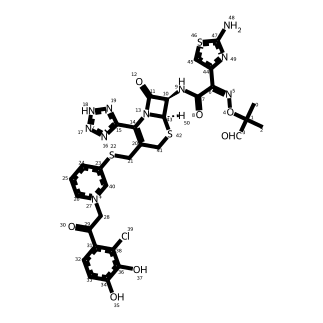 CC(C)(C=O)O/N=C(\C(=O)N[C@@H]1C(=O)N2C(c3nn[nH]n3)=C(CSc3ccc[n+](CC(=O)c4ccc(O)c(O)c4Cl)c3)CS[C@H]12)c1csc(N)n1